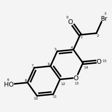 O=C(CBr)c1cc2cc(O)ccc2oc1=O